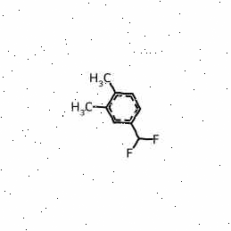 Cc1ccc(C(F)F)cc1C